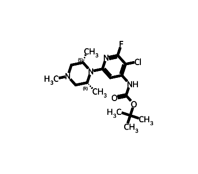 C[C@@H]1CN(C)C[C@H](C)N1c1cc(NC(=O)OC(C)(C)C)c(Cl)c(F)n1